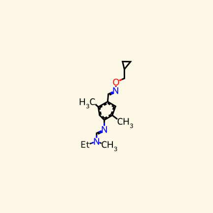 CCN(C)C=Nc1cc(C)c(C=NOCC2CC2)cc1C